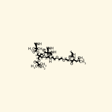 CN(C)CC(NC(=O)CI)C(=O)NCCOCCOCCNC(=O)COCC(COC(=O)C(C)(C)N)(COC(=O)C(C)(C)C1CN1)COC(=O)C(C)(C1CN1)C1CN1